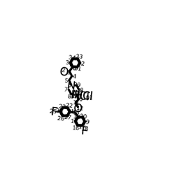 Cl.Cl.O=C(CCN1CCN(CCOC(c2ccc(F)cc2)c2ccc(F)cc2)CC1)c1ccccc1